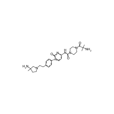 CC1(N)CCN(CCc2ccc(-n3ccc(NC(=O)N4CCN(C(=O)C(C)(C)N)CC4)nc3=O)cc2)C1